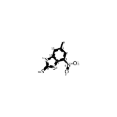 Cc1cc([N+](=O)[O-])c2sc(=S)sc2c1